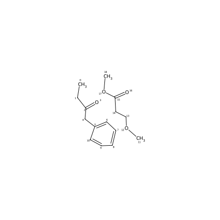 CCC(=O)Cc1ccccc1.COCCC(=O)OC